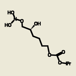 CC(C)OC(=O)OCCCC[C@@H](O)CON(O)O